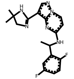 CC(Nc1ccn2ncc(C3=NCC(C)(C)N3)c2n1)c1cc(F)ccc1F